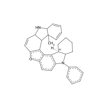 CC12C=CC=CC1NC1C=Cc3oc4ccc5c(c4c3C12)[C@H]1CCCCC1N5c1ccccc1